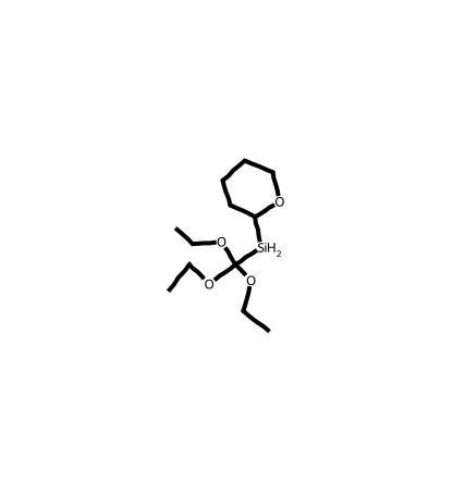 CCOC(OCC)(OCC)[SiH2]C1CCCCO1